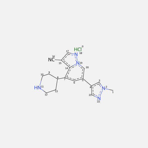 Cl.Cn1cc(-c2cc(C3CCNCC3)c3c(C#N)cnn3c2)cn1